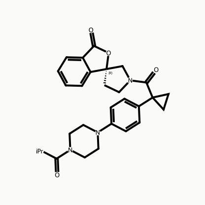 CC(C)C(=O)N1CCN(c2ccc(C3(C(=O)N4CC[C@@]5(C4)OC(=O)c4ccccc45)CC3)cc2)CC1